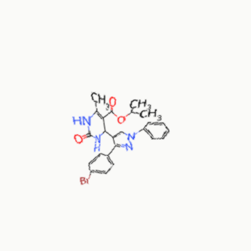 CC1=C(C(=O)OC(C)C)C(c2cn(-c3ccccc3)nc2-c2ccc(Br)cc2)NC(=O)N1